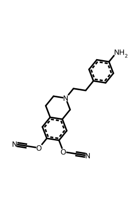 N#COc1cc2c(cc1OC#N)CN(CCc1ccc(N)cc1)CC2